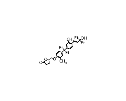 CCC(O)(C=Cc1ccc(C(CC)(CC)c2ccc(OC[C@H]3CCC(=O)O3)c(C)c2)cc1C)CC